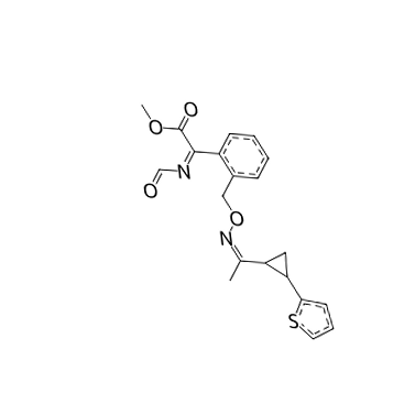 COC(=O)C(=NC=O)c1ccccc1CON=C(C)C1CC1c1cccs1